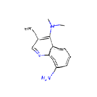 CCCc1cnc2c(N)cccc2c1N(C)C